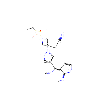 C=N/C(=C1/C=CN/C1=N/C)c1cnn(C2(CC#N)CN(S(=O)(=O)CC)C2)c1